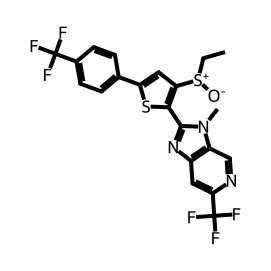 CC[S+]([O-])c1cc(-c2ccc(C(F)(F)F)cc2)sc1-c1nc2cc(C(F)(F)F)ncc2n1C